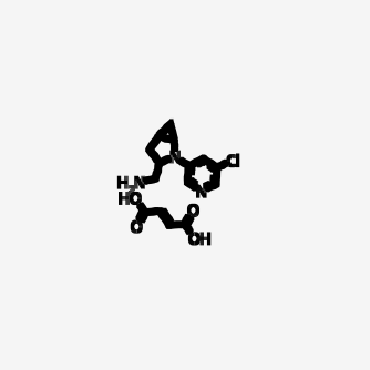 NCC1CC2CC2N1c1cncc(Cl)c1.O=C(O)/C=C/C(=O)O